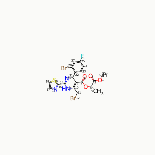 CC(C)OC(=O)[C@H](C)OC(=O)C1=C(CBr)NC(c2nccs2)=N[C@H]1c1ccc(F)cc1Br